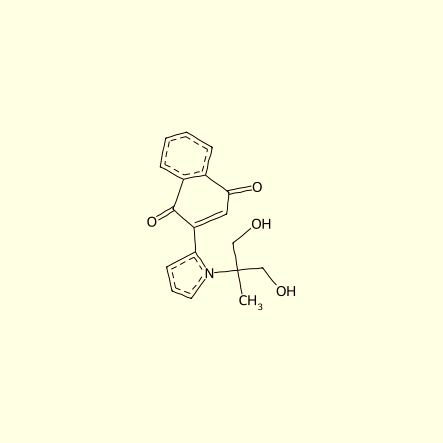 CC(CO)(CO)n1cccc1C1=CC(=O)c2ccccc2C1=O